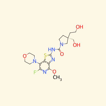 COc1nc(F)c(N2CCOCC2)c2sc(NC(=O)N3CC[C@@](CO)(CCO)C3)nc12